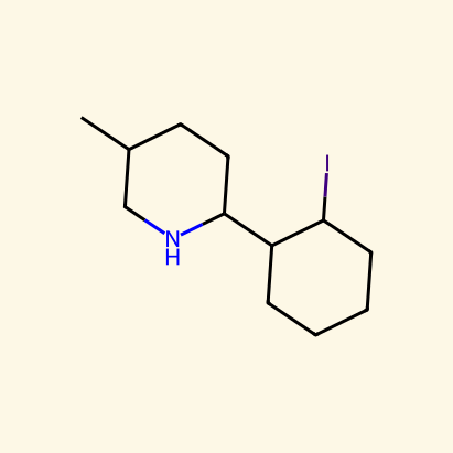 CC1CCC(C2CCCCC2I)NC1